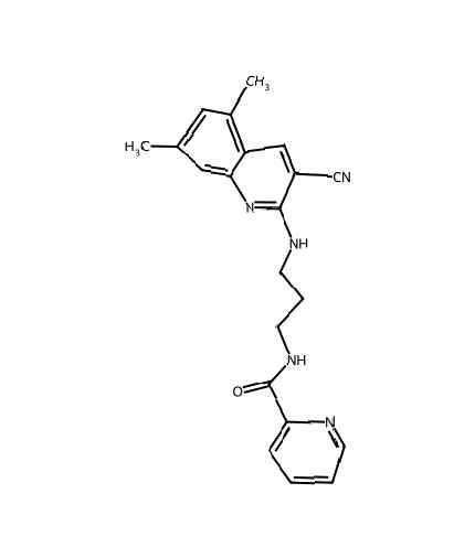 Cc1cc(C)c2cc(C#N)c(NCCCNC(=O)c3ccccn3)nc2c1